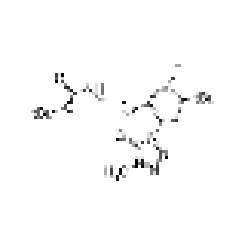 Cn1nnn(-c2cc(C(C)(C)C)c(F)cc2OCCNC(=O)OC(C)(C)C)c1=O